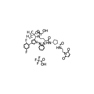 CC(C)(C)[C@H](c1cc(-c2cc(F)ccc2F)cn1Cc1ccccc1)N(CC[C@H](N)C(=O)N[C@@H]1CC[C@H](C(=O)NCCN2C(=O)C=CC2=O)C1)C(=O)CO.O=C(O)C(F)(F)F